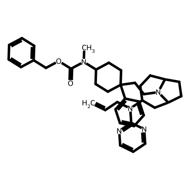 C=CCN(c1ncccn1)C1CCC2CCC(C1)N2CCC1(c2ccccc2)CCC(N(C)C(=O)OCc2ccccc2)CC1